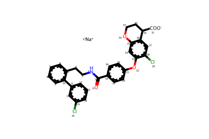 O=C(NCCc1ccccc1-c1cccc(Cl)c1)c1ccc(Oc2cc3c(cc2Cl)C(C(=O)[O-])CCO3)cc1.[Na+]